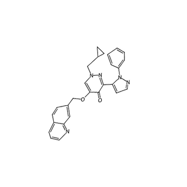 O=c1c(OCc2ccc3cccnc3c2)cn(CC2CC2)nc1-c1ccnn1-c1ccccc1